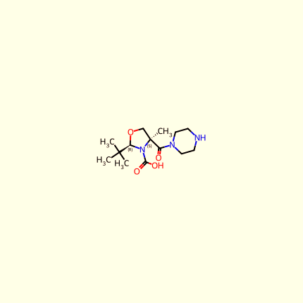 CC(C)(C)[C@H]1OC[C@@](C)(C(=O)N2CCNCC2)N1C(=O)O